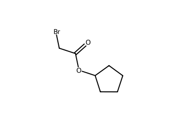 O=C(CBr)OC1CCCC1